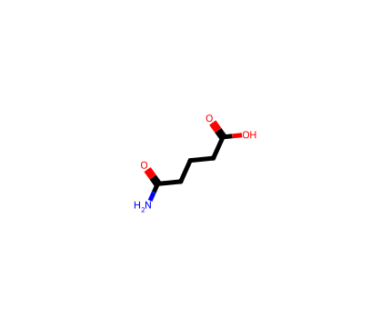 NC(=O)CCCC(=O)O